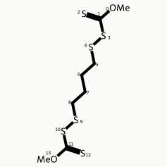 COC(=S)SSCCCCSSC(=S)OC